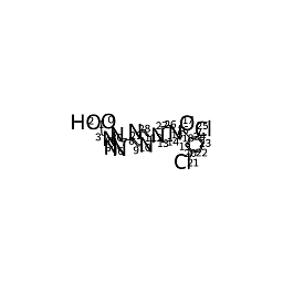 O=C(O)Cn1nnc(-c2cnc(N3CCN(C(=O)c4cc(Cl)ccc4Cl)CC3)cn2)n1